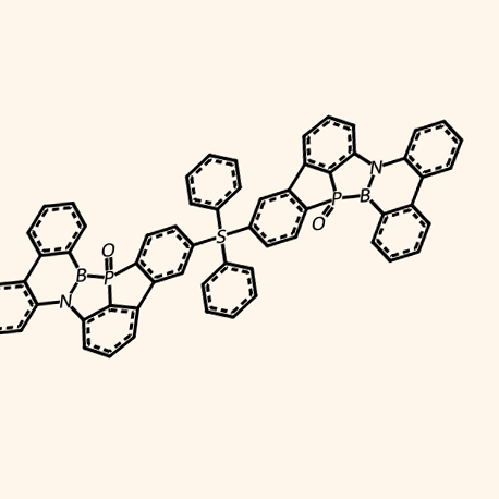 O=P12B3c4ccccc4-c4ccccc4N3c3cccc(c31)-c1cc(S(c3ccccc3)(c3ccccc3)c3ccc4c(c3)-c3cccc5c3P4(=O)B3c4ccccc4-c4ccccc4N35)ccc12